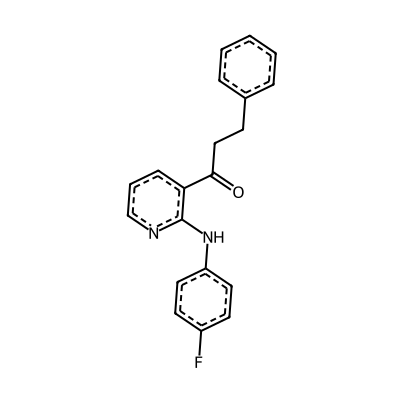 O=C(CCc1ccccc1)c1cccnc1Nc1ccc(F)cc1